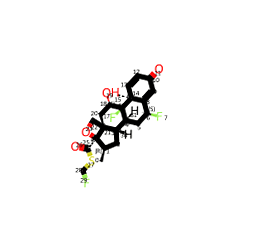 C[C@@H]1C[C@H]2[C@@H]3C[C@H](F)C4=CC(=O)C=C[C@]4(C)[C@@]3(F)[C@@H](O)C[C@@]23CO[C@]13C(=O)SCF